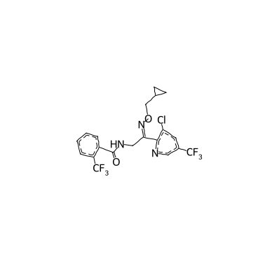 O=C(NC/C(=N/OCC1CC1)c1ncc(C(F)(F)F)cc1Cl)c1ccccc1C(F)(F)F